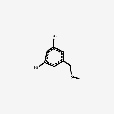 CSCc1cc(Br)cc(Br)c1